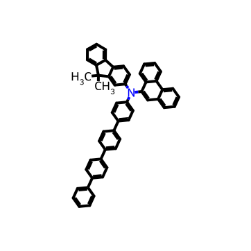 CC1(C)c2ccccc2-c2ccc(N(c3ccc(-c4ccc(-c5ccc(-c6ccccc6)cc5)cc4)cc3)c3cc4ccccc4c4ccccc34)cc21